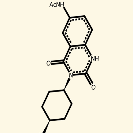 CCC[C@H]1CC[C@@H](n2c(=O)[nH]c3ccc(NC(C)=O)cc3c2=O)CC1